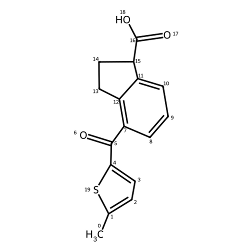 Cc1ccc(C(=O)c2cccc3c2CCC3C(=O)O)s1